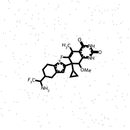 COC1c2[nH]c(=O)[nH]c(=O)c2C(C)=C(F)C1(c1cc2c(s1)CCC(C(N)C(F)(F)F)C2)C1CC1